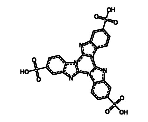 O=S(=O)(O)c1ccc2c(c1)nc1n2c2nc3cc(S(=O)(=O)O)ccc3n2c2nc3cc(S(=O)(=O)O)ccc3n12